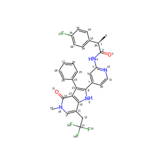 C[C@@H](C(=O)Nc1cc(-c2[nH]c3c(CC(F)(F)F)cn(C)c(=O)c3c2-c2ccccc2)ccn1)c1ccc(F)cc1